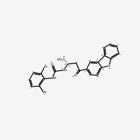 CC(C)c1cccc(C(C)C)c1NC(=O)N[C@@H](CC(=O)c1ccc2oc3ccccc3c2c1)C(=O)O